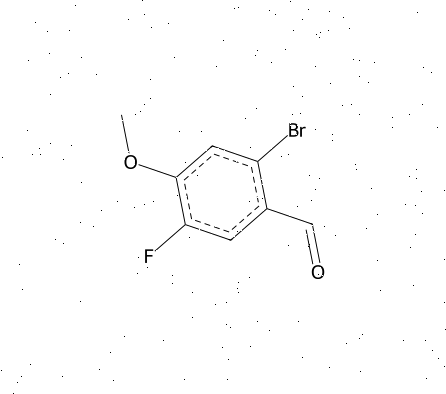 COc1cc(Br)c(C=O)cc1F